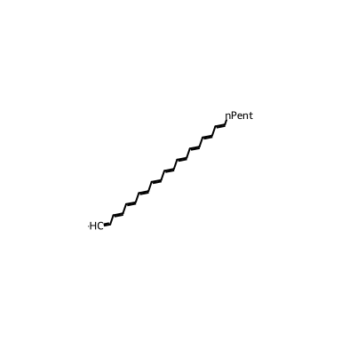 [CH]=C/C=C/C=C/C=C/C=C/C=C/C=C/C=C/C=C/C=C/CCCCC